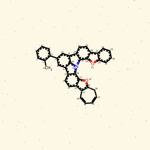 Cc1ccccc1-c1cc2c3ccc4c5c(oc4c3n3c2c(c1)c1ccc2c4ccccc4oc2c13)CC=CC=C5